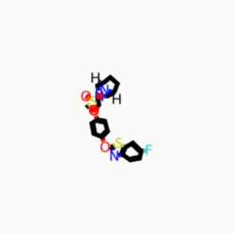 CS(=O)(=O)N1C[C@H]2CC[C@@H](C1)N2CCOc1ccc(Oc2nc3ccc(F)cc3s2)cc1